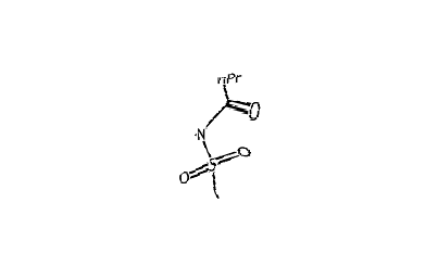 CCCC(=O)[N]S(C)(=O)=O